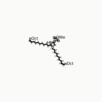 CCCCCCCC/C=C\CCCCCCCCC1=[N+](CCCCCCCC/C=C\CCCCCCCC)CCN1.COS(=O)(=O)[O-]